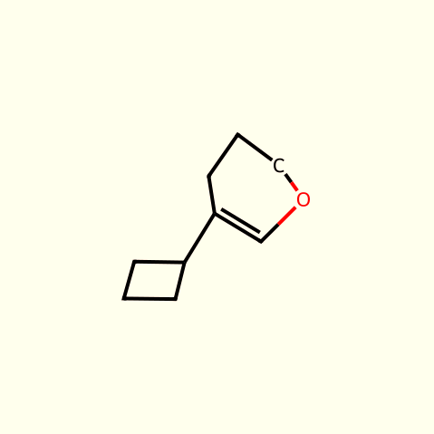 C1=C(C2CCC2)CCCO1